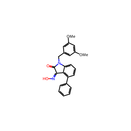 COc1cc(CN2C(=O)/C(=N\O)c3c(-c4ccccc4)cccc32)cc(OC)c1